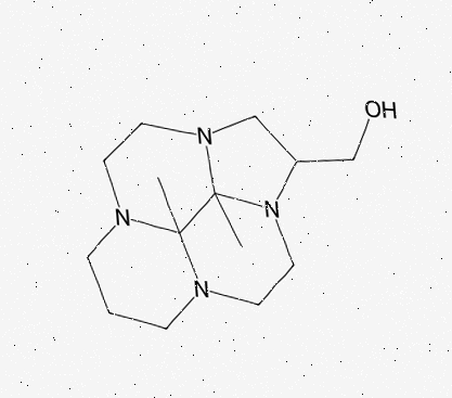 CC12N3CCCN1CCN1C(CO)CN(CC3)C12C